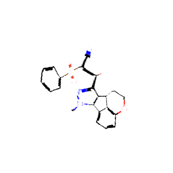 Cn1nc(C(O)=C(C#N)S(=O)(=O)c2ccccc2)c2c1-c1cccc3c1C2CCO3